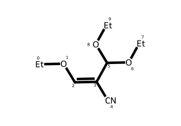 CCOC=C(C#N)C(OCC)OCC